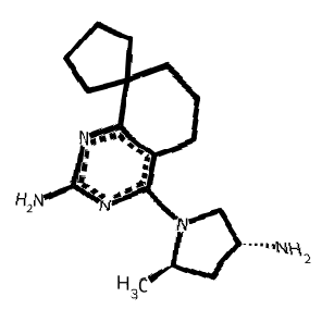 C[C@@H]1C[C@@H](N)CN1c1nc(N)nc2c1CCCC21CCCC1